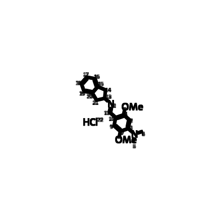 COc1cc(N(C)C)c(OC)cc1C=NC1Cc2ccccc2C1.Cl